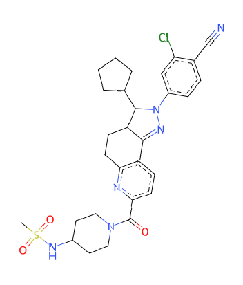 CS(=O)(=O)NC1CCN(C(=O)c2ccc3c(n2)CCC2C3=NN(c3ccc(C#N)c(Cl)c3)C2C2CCCC2)CC1